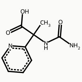 CC(NC(N)=O)(C(=O)O)c1ccccn1